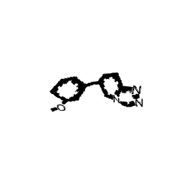 COc1cccc(-c2ccc3nncn3c2)c1